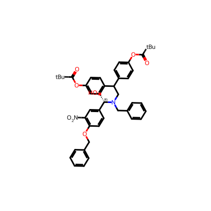 CC(C)(C)C(=O)Oc1ccc(C(CN(Cc2ccccc2)[C@@H](CO)c2ccc(OCc3ccccc3)c([N+](=O)[O-])c2)c2ccc(OC(=O)C(C)(C)C)cc2)cc1